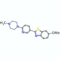 COc1ccc2nc(-c3ccc(N4CCN(C)CC4)nc3)sc2c1